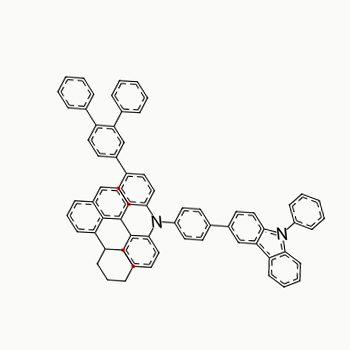 c1ccc(-c2ccc(-c3ccc(N(c4ccc(-c5ccc6c(c5)c5ccccc5n6-c5ccccc5)cc4)c4ccccc4-c4cccc5cccc(C6CCCCC6)c45)cc3)cc2-c2ccccc2)cc1